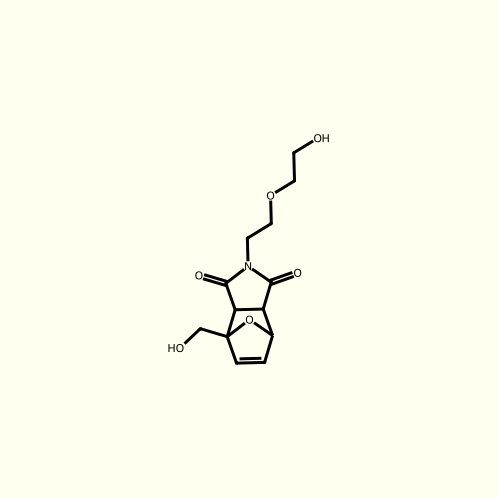 O=C1C2C3C=CC(CO)(O3)C2C(=O)N1CCOCCO